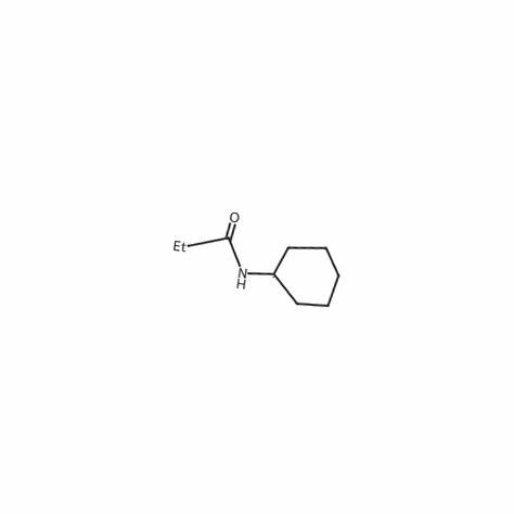 CCC(=O)N[C]1CCCCC1